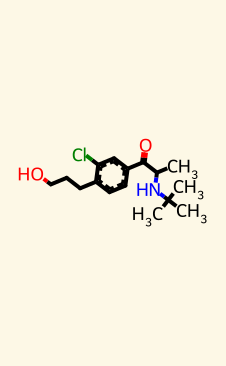 CC(NC(C)(C)C)C(=O)c1ccc(CCCO)c(Cl)c1